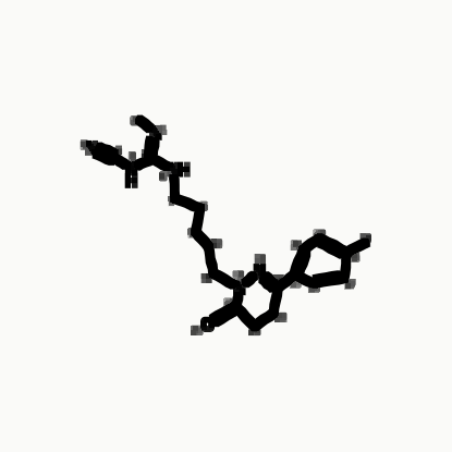 C/N=C(\NC#N)NCCCCCN1N=C(c2ccc(C)cc2)CCC1=O